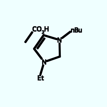 CC(=O)O.CCCCN1C=CN(CC)C1